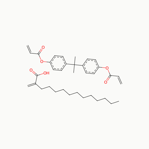 C=C(CCCCCCCCCCCC)C(=O)O.C=CC(=O)Oc1ccc(C(C)(C)c2ccc(OC(=O)C=C)cc2)cc1